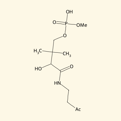 COP(=O)(O)OCC(C)(C)C(O)C(=O)NCCC(C)=O